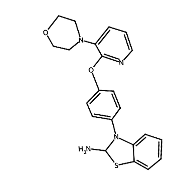 NC1Sc2ccccc2N1c1ccc(Oc2ncccc2N2CCOCC2)cc1